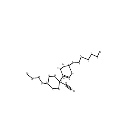 CCCCCCCC1CC=C(C2(C#N)CCC(CCCC)CC2)CC1